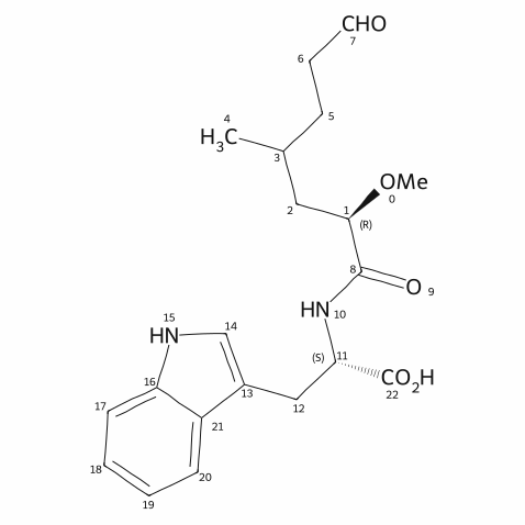 CO[C@H](CC(C)CCC=O)C(=O)N[C@@H](Cc1c[nH]c2ccccc12)C(=O)O